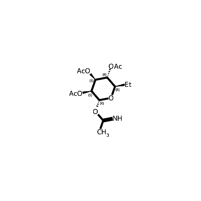 CC[C@H]1O[C@H](OC(C)=N)[C@@H](OC(C)=O)[C@@H](OC(C)=O)[C@@H]1OC(C)=O